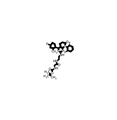 Cc1cc(F)ccc1-c1nc(NCCNC(=O)CNC(=O)OC(C)(C)C)nc2c1ccc(=O)n2-c1c(F)cccc1F